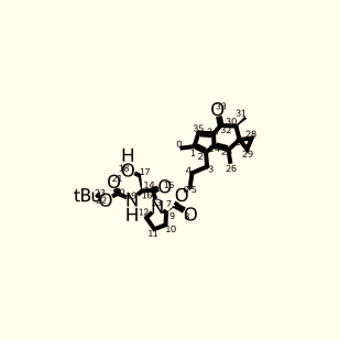 CC1=C(CCCOC(=O)[C@@H]2CCCN2C(=O)[C@H](CO)NC(=O)OC(C)(C)C)C2=C(C)C3(CC3)[C@H](C)C(=O)C2=C1